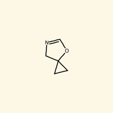 C1=NCC2(CC2)O1